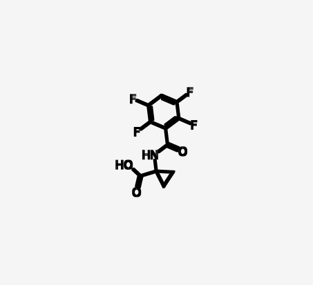 O=C(NC1(C(=O)O)CC1)c1c(F)c(F)cc(F)c1F